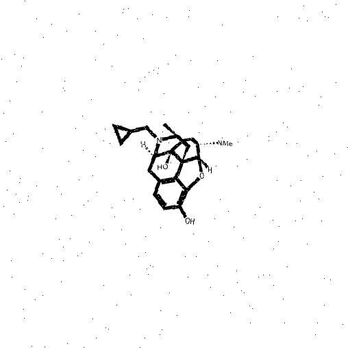 CN[C@H]1C[C@H](C)[C@@]2(O)[C@H]3Cc4ccc(O)c5c4[C@@]2(CCN3CC2CC2)[C@H]1O5